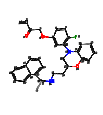 COC(=O)COc1ccc(F)c(N2CC(CCN[C@H](C)c3cccc4ccccc34)Oc3ccccc32)c1